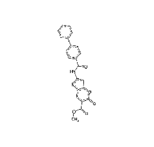 COC(=O)c1cc2sc(NC(=O)c3ccc(-c4ccccc4)cc3)cc2oc1=O